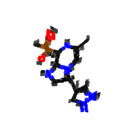 Cc1cn2c(-c3cn[nH]c3)cnc2c(S(C)(=O)=O)n1